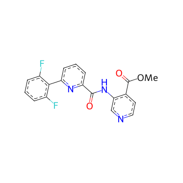 COC(=O)c1ccncc1NC(=O)c1cccc(-c2c(F)cccc2F)n1